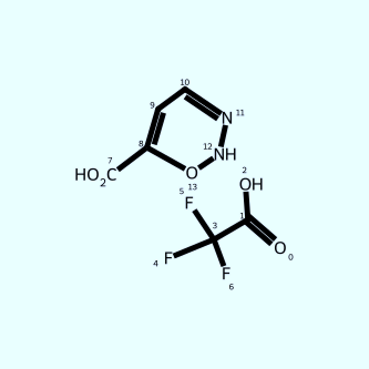 O=C(O)C(F)(F)F.O=C(O)C1=CC=NNO1